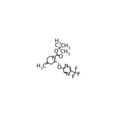 C[C@H]1CCN(C(=O)OC(C)(C)C)[C@H](COc2cnc(C(F)(F)F)cn2)C1